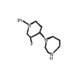 CC(C)N1CCC(N2CCCNCC2)C(F)C1